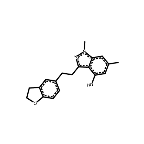 Cc1cc(O)c2c(CCc3ccc4c(c3)CCO4)nn(C)c2c1